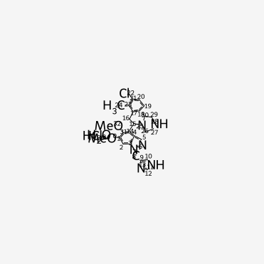 COc1cc2c(cnn2Cc2c[nH]cn2)c(C(Cc2cccc(Cl)c2C)N2CCNCC2)c1OC.Cl.O